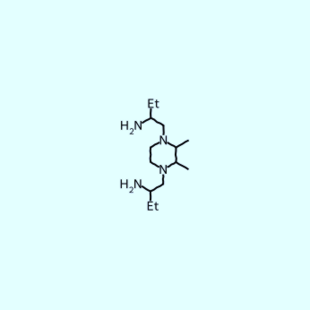 CCC(N)CN1CCN(CC(N)CC)C(C)C1C